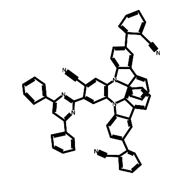 N#Cc1ccccc1-c1ccc2c(c1)c1ccccc1n2-c1cc(C#N)c(-c2nc(-c3ccccc3)cc(-c3ccccc3)n2)cc1-n1c2ccccc2c2cc(-c3ccccc3C#N)ccc21